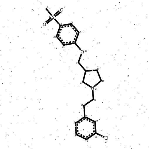 CS(=O)(=O)c1ccc(OCC2CCN(CCc3cccc(Cl)c3)C2)cc1